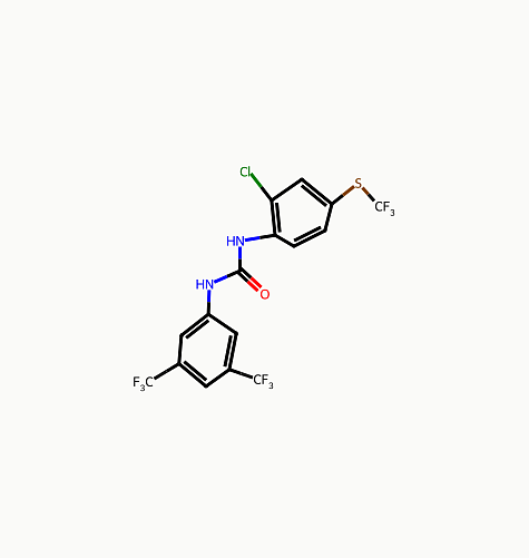 O=C(Nc1cc(C(F)(F)F)cc(C(F)(F)F)c1)Nc1ccc(SC(F)(F)F)cc1Cl